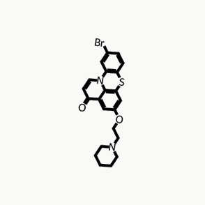 O=c1ccn2c3c(cc(OCCN4CCCCC4)cc13)Sc1ccc(Br)cc1-2